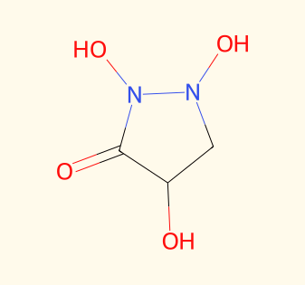 O=C1C(O)CN(O)N1O